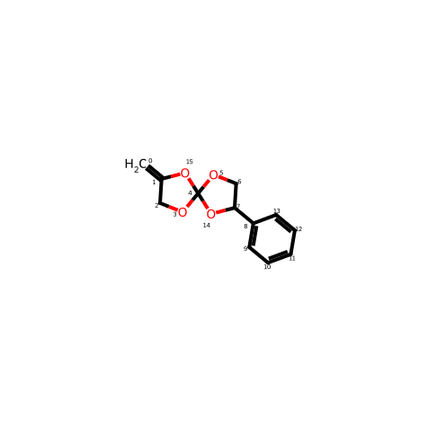 C=C1COC2(OCC(c3ccccc3)O2)O1